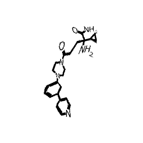 NC(=O)C(N)(CCC(=O)N1CCN(c2cccc(-c3ccncc3)c2)CC1)C1CC1